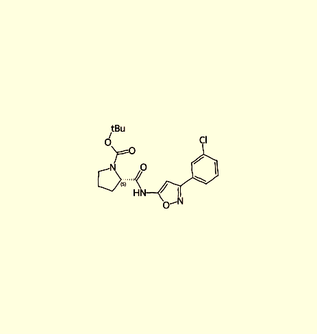 CC(C)(C)OC(=O)N1CCC[C@H]1C(=O)Nc1cc(-c2cccc(Cl)c2)no1